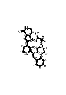 O=C1NCCc2c1cc(-c1ccnc(C=Cc3ccccc3N3CCOCC3)c1)n2OC(=O)C(F)(F)F